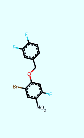 O=[N+]([O-])c1cc(Br)c(OCc2ccc(F)c(F)c2)cc1F